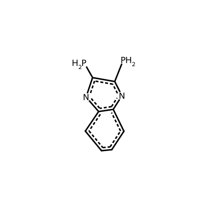 Pc1nc2ccccc2nc1P